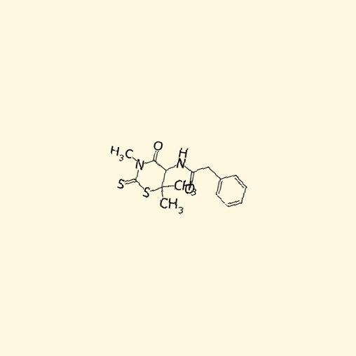 CN1C(=O)C(NC(=O)Cc2ccccc2)C(C)(C)SC1=S